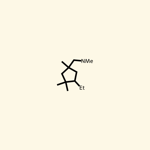 CCC1CC(C)(CNC)CC1(C)C